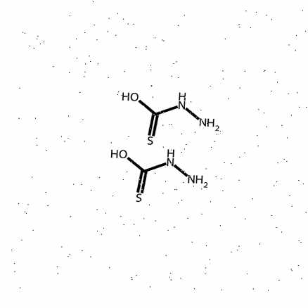 NNC(O)=S.NNC(O)=S